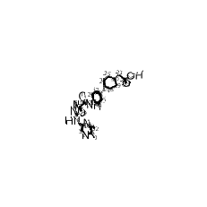 Cc1ncc(Nc2nnc(C(=O)Nc3ccc([C@H]4CC[C@H](CC(=O)O)CC4)cc3)o2)nc1C